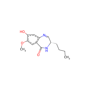 CCCC[C@H]1C=Nc2cc(O)c(OC)cc2C(=O)N1